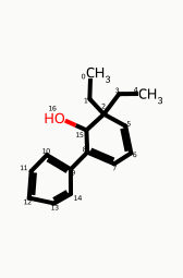 CCC1(CC)C=CC=C(c2ccccc2)C1O